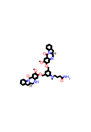 COc1cc2c(cc1OCc1cc(COc3cc4c(cc3OC)C(=O)N3c5ccccc5C[C@H]3CN4)cc(N(C)CCCC(N)=O)c1)N=C[C@@H]1Cc3ccccc3N1C2=O